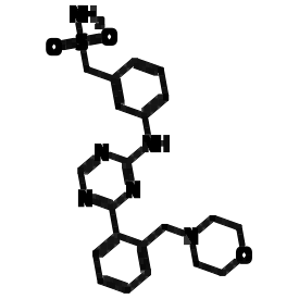 NS(=O)(=O)Cc1cccc(Nc2ncnc(-c3ccccc3CN3CCOCC3)n2)c1